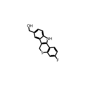 OCc1ccc2[nH]c3c(c2c1)CSc1cc(F)ccc1-3